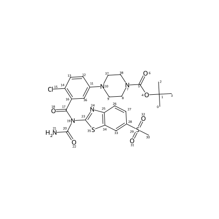 CC(C)(C)OC(=O)N1CCN(c2ccc(Cl)c(C(=O)N(C(N)=O)c3nc4ccc(S(C)(=O)=O)cc4s3)c2)CC1